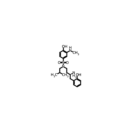 CNc1cc(S(=O)(=O)N(CC[C@@H](N)Cc2ccccc2O)CC(C)C)ccc1O